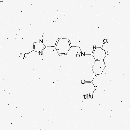 Cn1cc(C(F)(F)F)nc1-c1ccc(CNc2nc(Cl)nc3c2CN(C(=O)OC(C)(C)C)CC3)cc1